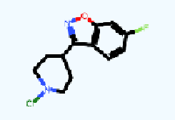 Fc1ccc2c(C3CCN(Cl)CC3)noc2c1